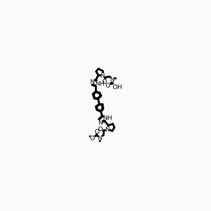 COC(=O)N(C)CC(=O)N1CCCC1c1ncc(-c2ccc(-c3ccc(-c4cnc(C5CCCN5C(=O)CN(C)C(=O)O)[nH]4)cc3)cc2)[nH]1